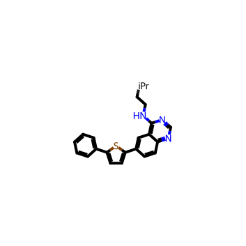 CC(C)CCNc1ncnc2ccc(-c3ccc(-c4ccccc4)s3)cc12